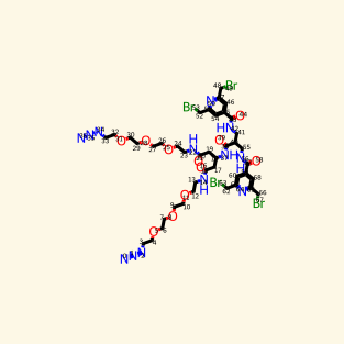 [N-]=[N+]=NCCOCCOCCOCCNC(=O)CC(CC(=O)NCCOCCOCCOCCN=[N+]=[N-])NC(=O)C(CNC(=O)c1cc(CBr)nc(CBr)c1)CNC(=O)c1cc(CBr)nc(CBr)c1